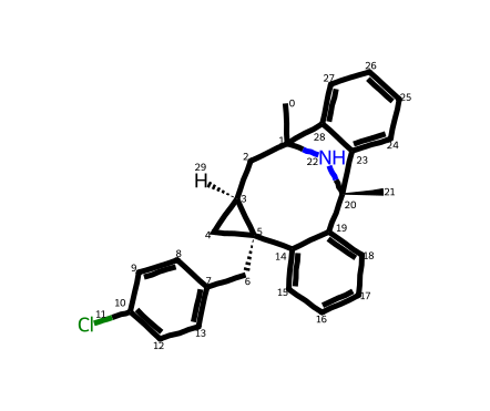 CC12C[C@@H]3C[C@]3(Cc3ccc(Cl)cc3)c3ccccc3[C@](C)(N1)c1ccccc12